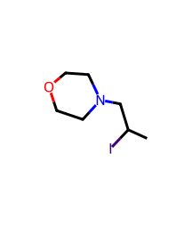 CC(I)CN1CCOCC1